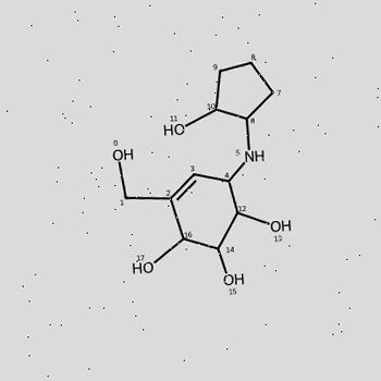 OCC1=CC(NC2CCCC2O)C(O)C(O)C1O